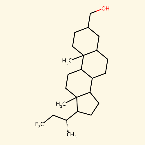 C[C@H](CC(F)(F)F)C1CCC2C3CCC4CC(CO)CCC4(C)C3CCC21C